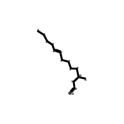 CCCCC=CCCCCC(C)CC=O